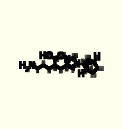 NCCCC(Cc1cn([C@@H]2C[C@@H]3CC[C@H]2C3)cn1)C(=O)O